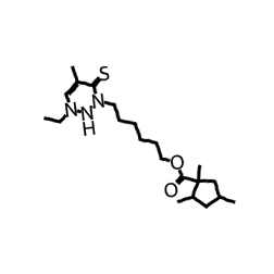 CCN1C=C(C)C(=S)N(CCCCCCOC(=O)C2(C)CC(C)CC2C)N1